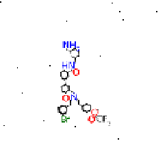 NCC1CCCC(CNC(=O)c2cccc(-c3cccc(CN(CCc4ccc(OC(=O)C(F)(F)F)cc4)C(=O)Cc4cccc(Br)c4)c3)c2)C1